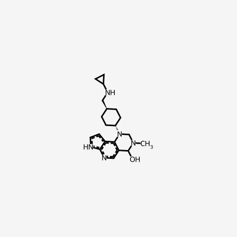 CN1CN([C@H]2CC[C@H](CNC3CC3)CC2)c2c(cnc3[nH]ccc23)C1O